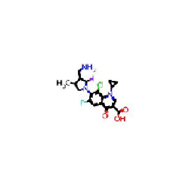 CC1CN(c2c(F)cc3c(=O)c(C(=O)O)cn(C4CC4)c3c2Cl)C(I)C1CN